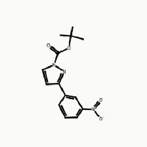 CC(C)(C)OC(=O)n1ccc(-c2cccc([N+](=O)[O-])c2)n1